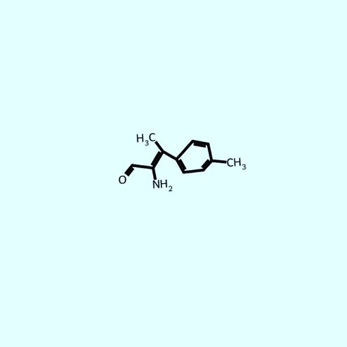 CC(=C(N)C=O)c1ccc(C)cc1